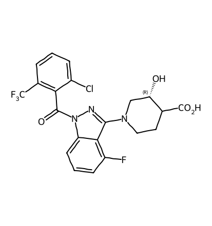 O=C(O)C1CCN(c2nn(C(=O)c3c(Cl)cccc3C(F)(F)F)c3cccc(F)c23)C[C@@H]1O